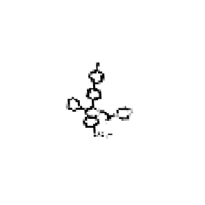 Cc1ccc(-c2ccc(-c3c(C4CCCCC4)c4ccc(C(=O)O)cc4n3CC(=O)N3CCOCC3)cc2)cc1